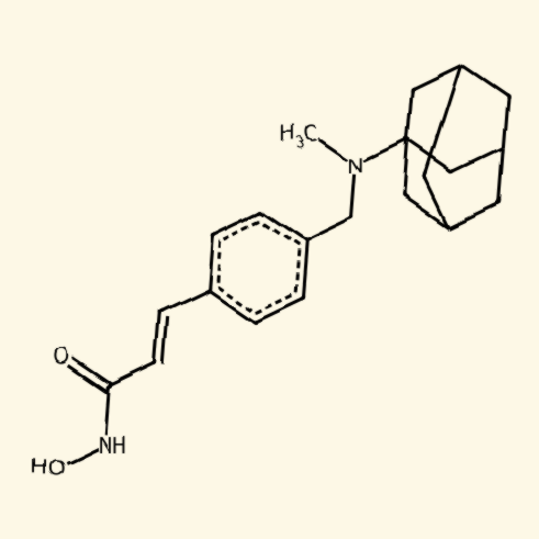 CN(Cc1ccc(/C=C/C(=O)NO)cc1)C12CC3CC(CC(C3)C1)C2